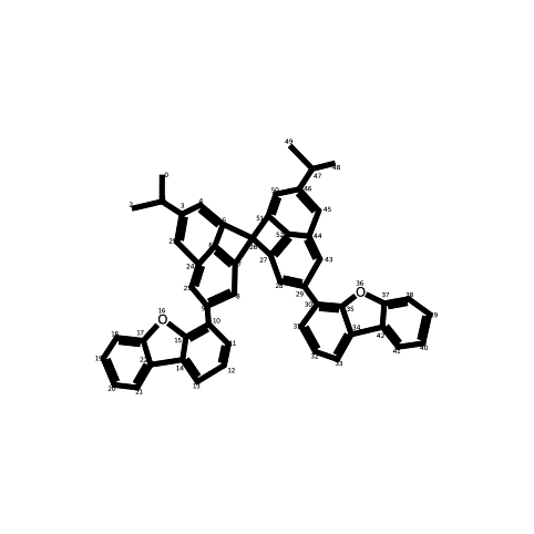 CC(C)c1cc2c3c(cc(-c4cccc5c4oc4ccccc45)cc3c1)C21c2cc(-c3cccc4c3oc3ccccc34)cc3cc(C(C)C)cc1c23